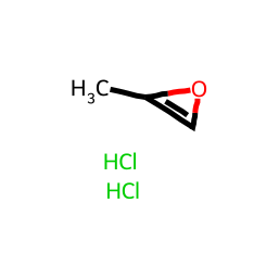 CC1=CO1.Cl.Cl